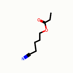 CCC(=O)OCCCCC#N